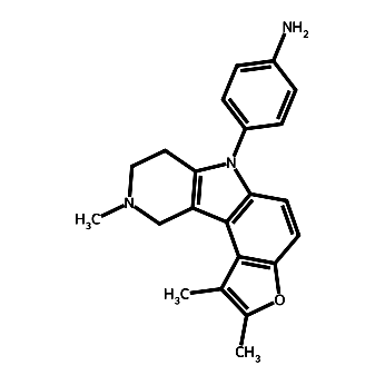 Cc1oc2ccc3c(c4c(n3-c3ccc(N)cc3)CCN(C)C4)c2c1C